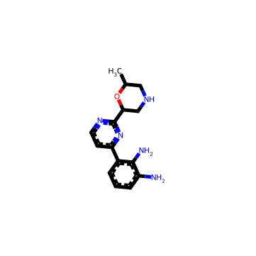 CC1CNCC(c2nccc(-c3cccc(N)c3N)n2)O1